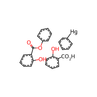 O=C(O)c1ccccc1O.O=C(Oc1ccccc1)c1ccccc1O.[Hg][c]1ccccc1